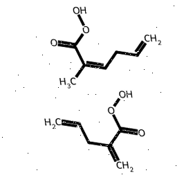 C=CCC(=C)C(=O)OO.C=CCC=C(C)C(=O)OO